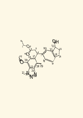 CCOC(=O)CC(c1ccc2c(c1)C(O)CC2)c1cc(OC)c2c(nnn2C)c1C